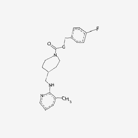 Cc1cccnc1NCC1CCN(C(=O)OCc2ccc(F)cc2)CC1